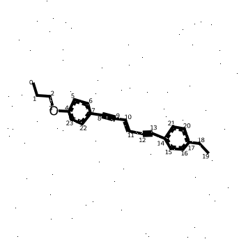 CCCOc1ccc(C#CC=CC#Cc2ccc(CC)cc2)cc1